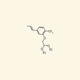 C/C=C/c1ccc(C(F)(F)F)c(OCC(OCC)OCC)c1